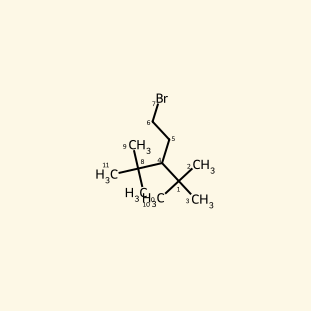 CC(C)(C)C(CCBr)C(C)(C)C